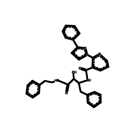 O=C(NC(Cc1ccccc1)C(O)C(=O)NCCc1ccccc1)c1cccnc1-n1ccc(-c2ccccc2)n1